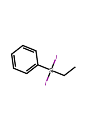 CC[Si](I)(I)c1ccccc1